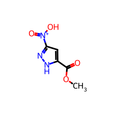 COC(=O)c1cc([N+](=O)O)n[nH]1